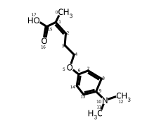 CC(=CCCOc1ccc(N(C)C)cc1)C(=O)O